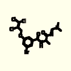 CC(NC(=O)c1cc(Br)cc(OCC(Cl)=C(Cl)Cl)c1)C(=O)/N=C/N(C)C